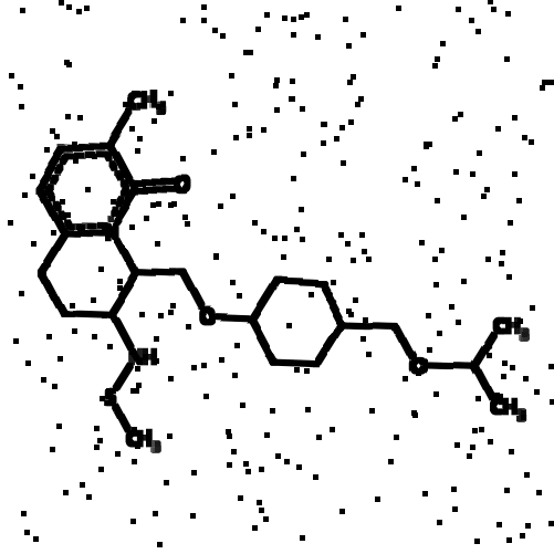 CSNC1CCc2ccc(C)c(=O)n2C1COC1CCC(COC(C)C)CC1